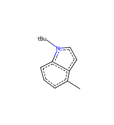 Cc1cccc2c1ccn2C(C)(C)C